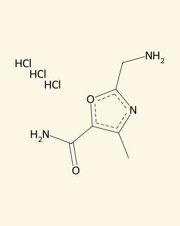 Cc1nc(CN)oc1C(N)=O.Cl.Cl.Cl